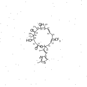 C/C(=C\c1csc(C)n1)C1(C)C/C=C(/C(F)(F)F)C/C=C/C(C)C(O)C(C)C(=O)C(C)(C)[C@@H](O)CC(=O)O1